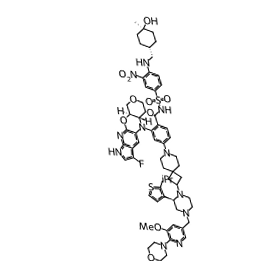 COc1cc(CN2CCN(C3CC4(CCN(c5ccc(C(=O)NS(=O)(=O)c6ccc(NC[C@H]7CC[C@](C)(O)CC7)c([N+](=O)[O-])c6)c(N6c7cc8c(F)c[nH]c8nc7O[C@H]7COCC[C@@H]76)c5)CC4)C3)[C@H](c3ccsc3C(C)C)C2)cnc1N1CCOCC1